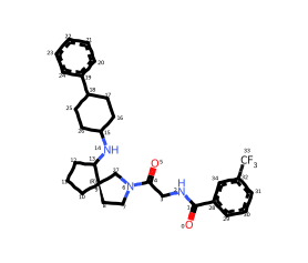 O=C(NCC(=O)N1CC[C@]2(CCCC2NC2CCC(c3ccccc3)CC2)C1)c1cccc(C(F)(F)F)c1